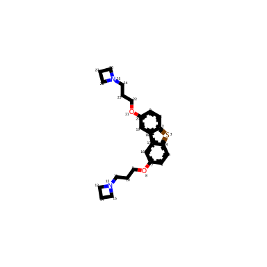 c1cc2sc3ccc(OCCCN4CCC4)cc3c2cc1OCCCN1CCC1